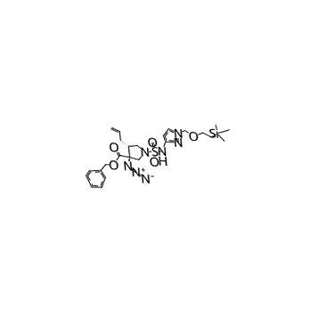 C=CC[C@@H]1CN(S(=O)(=O)Nc2ccn(COCC[Si](C)(C)C)n2)C[C@]1(N=[N+]=[N-])C(=O)OCc1ccccc1